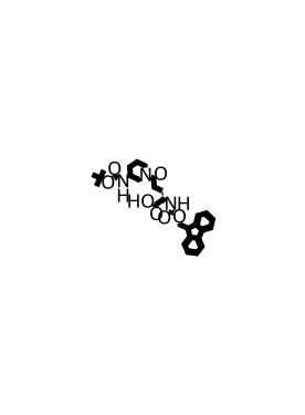 CC(C)(C)OC(=O)N[C@@H]1CCCN(C(=O)CC[C@H](NC(=O)OCC2c3ccccc3-c3ccccc32)C(=O)O)C1